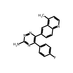 Cc1ccnc2ccc(-c3nnc(N)nc3-c3ccc(F)cc3)cc12